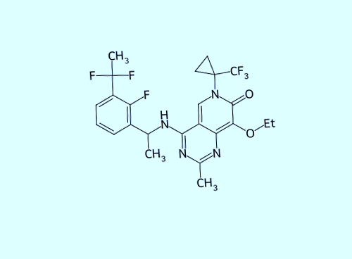 CCOc1c(=O)n(C2(C(F)(F)F)CC2)cc2c(NC(C)c3cccc(C(C)(F)F)c3F)nc(C)nc12